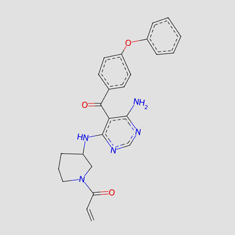 C=CC(=O)N1CCCC(Nc2ncnc(N)c2C(=O)c2ccc(Oc3ccccc3)cc2)C1